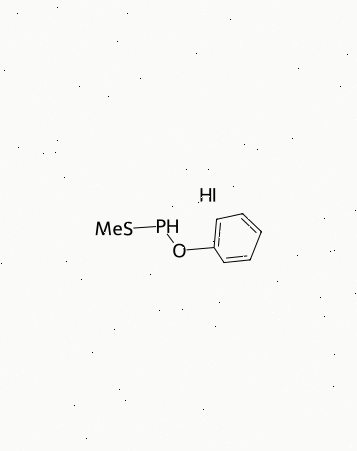 CSPOc1ccccc1.I